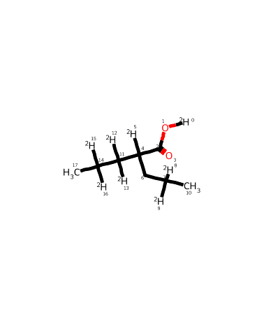 [2H]OC(=O)C([2H])(CC([2H])([2H])C)C([2H])([2H])C([2H])([2H])C